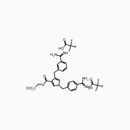 CCOC(=O)COC(=O)c1cn(Cc2ccc(C(=N)N)cc2)cc1Cc1cccc(C(=N)N)c1.O=C(O)C(F)(F)F.O=C(O)C(F)(F)F